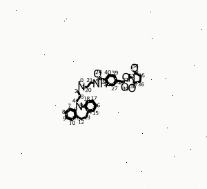 CN(CCCN1c2ccccc2CCc2ccccc21)CCNC(=O)c1ccc(C(=O)ON2C(=O)CCC2=O)cc1